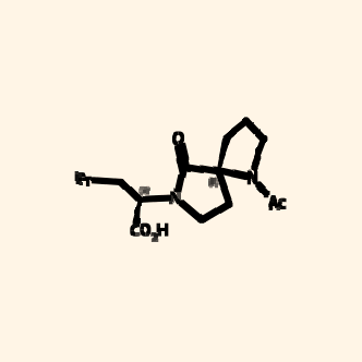 CC(=O)N1CCC[C@]12CCN([C@H](CC(C)C)C(=O)O)C2=O